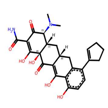 CN(C)[C@@H]1C(=O)C(C(N)=O)=C(O)[C@@]2(O)C(=O)C3=C(O)c4c(O)ccc(C5=CCCC5)c4C[C@H]3C[C@@H]12